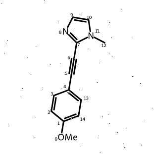 COc1ccc(C#Cc2nccn2C)cc1